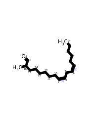 CCCCC/C=C\C/C=C\CCCCCCC(C)[C]=O